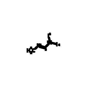 C/N=C/N(I)I